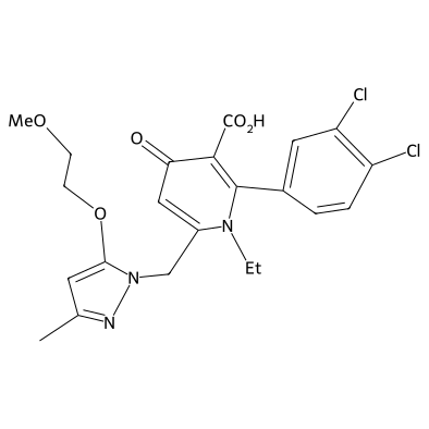 CCn1c(Cn2nc(C)cc2OCCOC)cc(=O)c(C(=O)O)c1-c1ccc(Cl)c(Cl)c1